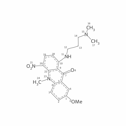 COc1ccc2c(c1)c(=O)c1c(NCCCN(C)C)ccc([N+](=O)[O-])c1n2C